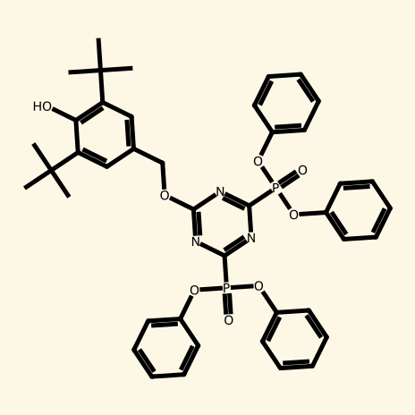 CC(C)(C)c1cc(COc2nc(P(=O)(Oc3ccccc3)Oc3ccccc3)nc(P(=O)(Oc3ccccc3)Oc3ccccc3)n2)cc(C(C)(C)C)c1O